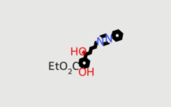 CCOC(=O)c1cc(C(O)CCCCN2CCN(c3ccccc3)CC2)ccc1O